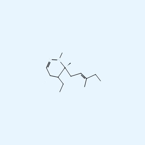 CC/C(C)=C/C[C@]1(C)C(CC)[C@H](C)C=NN1C